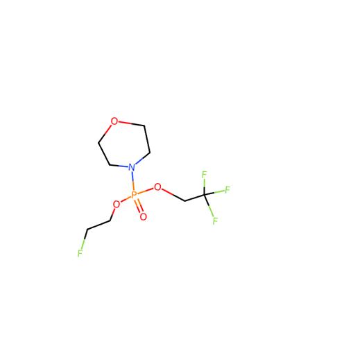 O=P(OCCF)(OCC(F)(F)F)N1CCOCC1